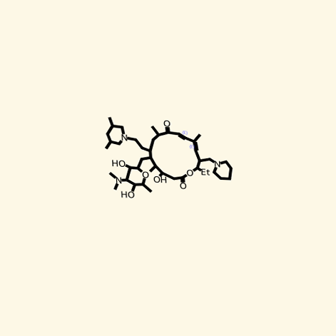 CCC1OC(=O)CC(O)C(C)C(CC2OC(C)C(O)C(N(C)C)C2O)C(CCN2CC(C)CC(C)C2)CC(C)C(=O)/C=C/C(C)=C/C1CN1CCCCC1